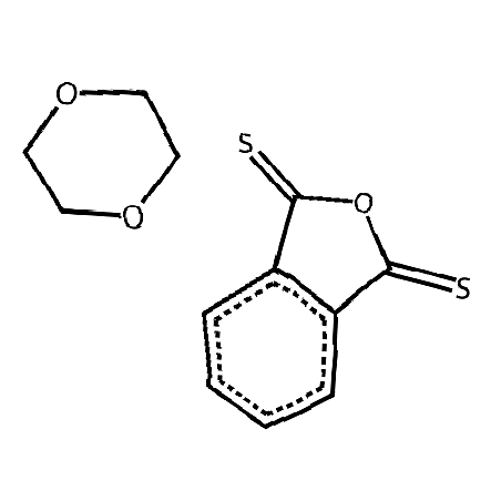 C1COCCO1.S=C1OC(=S)c2ccccc21